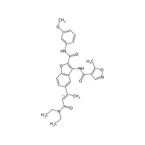 CCN(CC)C(=O)/C=C(\C)c1ccc2oc(C(=O)Nc3cccc(OC)c3)c(NC(=O)c3cnoc3C)c2c1